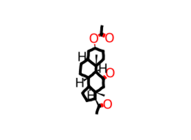 CC(=O)O[C@@H]1CC[C@@]2(C)[C@H](CC[C@H]3[C@@H]4CC[C@H](C(C)=O)[C@@]4(C)CC(=O)[C@@H]32)C1